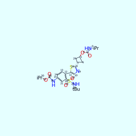 CC(C)NC(=O)O[C@H]1C[C@H](c2ncc(-c3ccc(NC(=O)OC(C)C)cc3S(=O)(=O)NC(C)(C)C)s2)C1